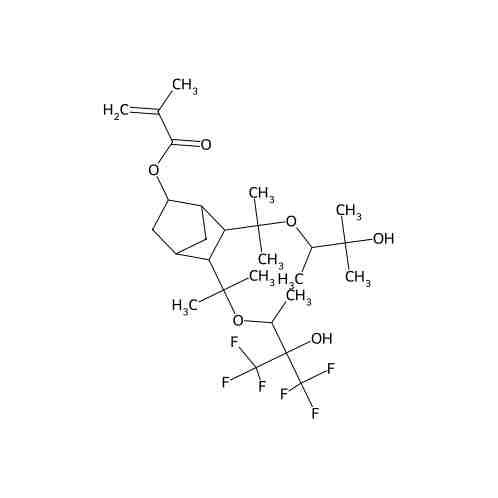 C=C(C)C(=O)OC1CC2CC1C(C(C)(C)OC(C)C(C)(C)O)C2C(C)(C)OC(C)C(O)(C(F)(F)F)C(F)(F)F